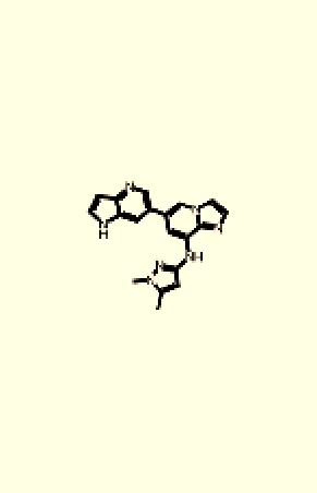 Cc1cc(Nc2cc(-c3cnc4cc[nH]c4c3)cn3ccnc23)nn1C